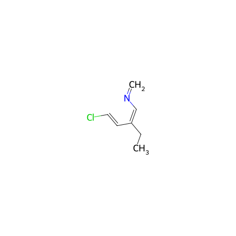 C=N/C=C(\C=C\Cl)CC